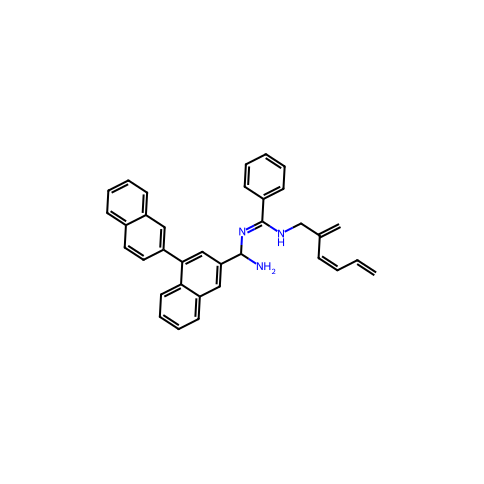 C=C/C=C\C(=C)CN/C(=N\C(N)c1cc(-c2ccc3ccccc3c2)c2ccccc2c1)c1ccccc1